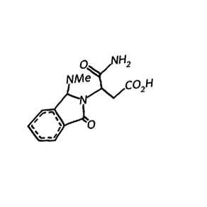 CNC1c2ccccc2C(=O)N1C(CC(=O)O)C(N)=O